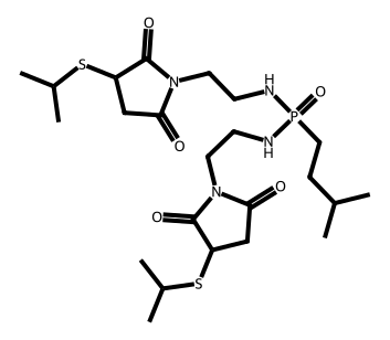 CC(C)CCP(=O)(NCCN1C(=O)CC(SC(C)C)C1=O)NCCN1C(=O)CC(SC(C)C)C1=O